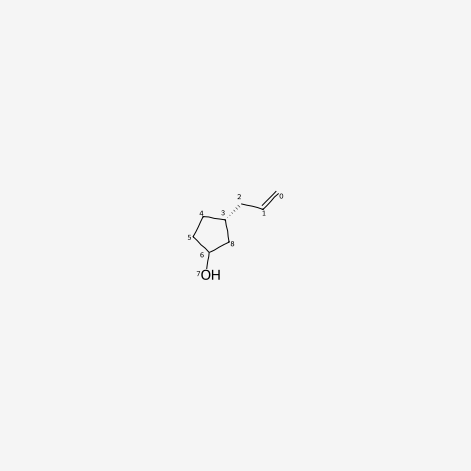 C=CC[C@H]1CCC(O)C1